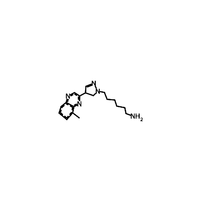 Cc1cccc2ncc(C3C=NN(CCCCCCN)C3)nc12